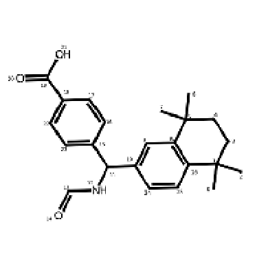 CC1(C)CCC(C)(C)c2cc(C(NC=O)c3ccc(C(=O)O)cc3)ccc21